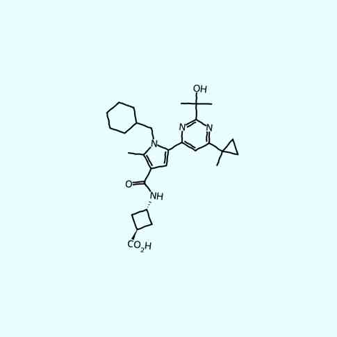 Cc1c(C(=O)N[C@H]2C[C@H](C(=O)O)C2)cc(-c2cc(C3(C)CC3)nc(C(C)(C)O)n2)n1CC1CCCCC1